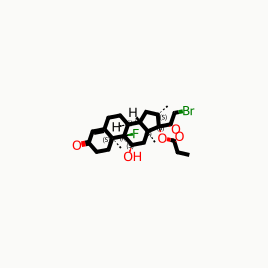 CCC(=O)O[C@@]1(C(=O)CBr)[C@@H](C)C[C@H]2[C@@H]3CCC4=CC(=O)CC[C@]4(C)[C@@]3(F)[C@@H](O)C[C@@]21C